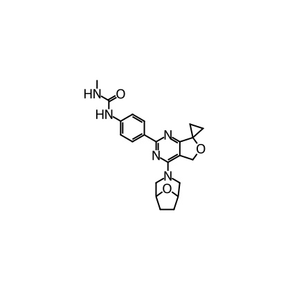 CNC(=O)Nc1ccc(-c2nc(N3CC4CCC(C3)O4)c3c(n2)C2(CC2)OC3)cc1